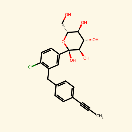 CC#Cc1ccc(Cc2cc([C@]3(O)O[C@H](CO)[C@@H](O)[C@H](O)[C@H]3O)ccc2Cl)cc1